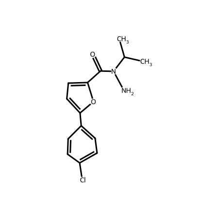 CC(C)N(N)C(=O)c1ccc(-c2ccc(Cl)cc2)o1